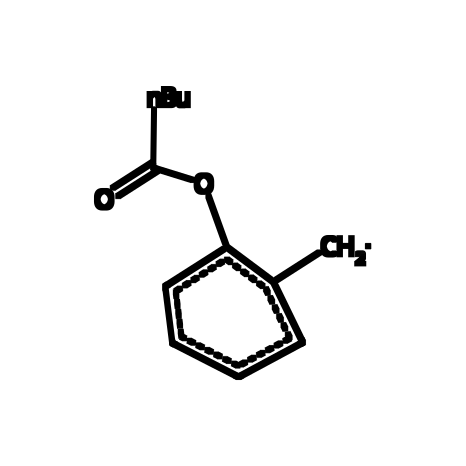 [CH2]c1ccccc1OC(=O)CCCC